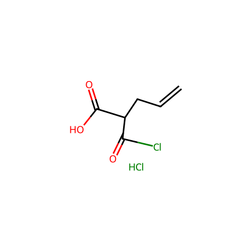 C=CCC(C(=O)O)C(=O)Cl.Cl